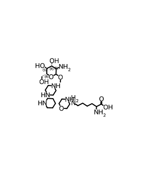 C1CCNCC1.C1CNCCN1.C1COCCN1.COC1O[C@H](CO)[C@@H](O)[C@H](O)[C@H]1N.NCCCCC(N)C(=O)O